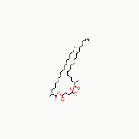 CC(C)CCCCCCCCCCCCCCC(C)C(=O)OC(=O)CCC(=O)OC(=O)C(C)CCCCCCCCCCCCCCC(C)C